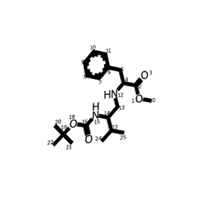 COC(=O)C(Cc1ccccc1)NCC(NC(=O)OC(C)(C)C)C(C)C